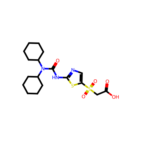 O=C(O)CS(=O)(=O)c1cnc(NC(=O)N(C2CCCCC2)C2CCCCC2)s1